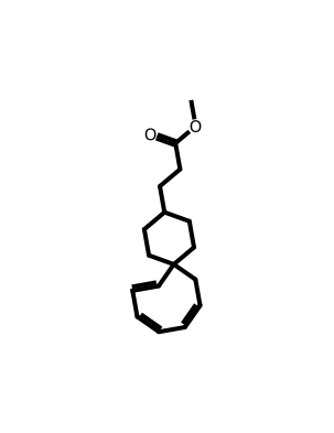 COC(=O)CCC1CCC2(/C=C/C=C\C=C/C2)CC1